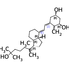 C=C1/C(=C\C=C2/CCC[C@]3(C)[C@@H]([C@@H](C)CCCC(C)(C)O)CC[C@@H]23)C[C@@H](O)C[C@H]1O